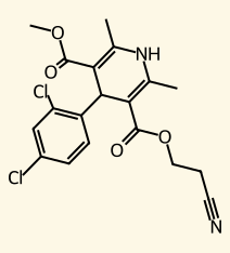 COC(=O)C1=C(C)NC(C)=C(C(=O)OCCC#N)C1c1ccc(Cl)cc1Cl